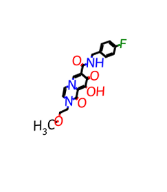 COCCn1ccn2cc(C(=O)NCc3ccc(F)cc3)c(=O)c(O)c2c1=O